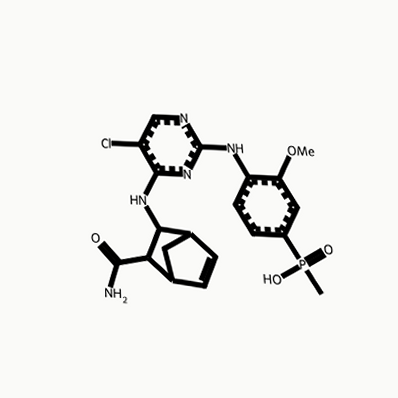 COc1cc(P(C)(=O)O)ccc1Nc1ncc(Cl)c(NC2C3C=CC(C3)C2C(N)=O)n1